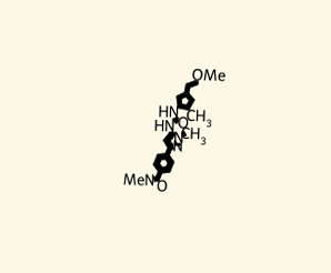 CNC(=O)c1ccc(-c2cc(NC(=O)N[C@@H]3CC(CCOC)C[C@H]3C)n(C)n2)cc1